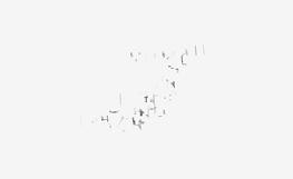 COc1cc(C)cc(CN2CCC(N(C)C(=O)n3cnc(-c4ccc(O)cc4)c3)CC2)c1